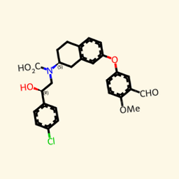 COc1ccc(Oc2ccc3c(c2)C[C@@H](N(C[C@H](O)c2ccc(Cl)cc2)C(=O)O)CC3)cc1C=O